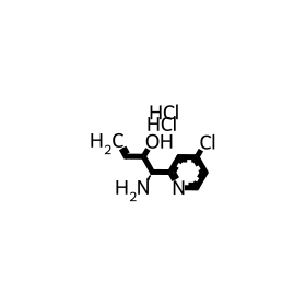 C=CC(O)[C@@H](N)c1cc(Cl)ccn1.Cl.Cl